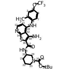 Cc1cc(OC(F)(F)F)ccc1Nc1ccnc2sc(C(=O)N[C@@H]3CCCN(C(=O)OC(C)(C)C)C3)c(N)c12